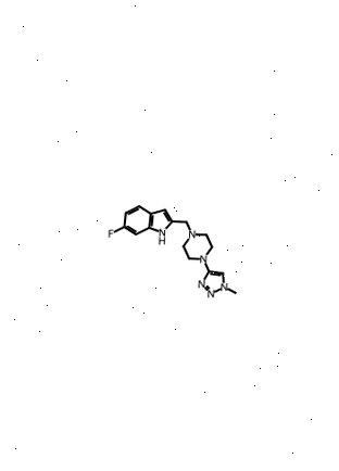 Cn1cc(N2CCN(Cc3cc4ccc(F)cc4[nH]3)CC2)nn1